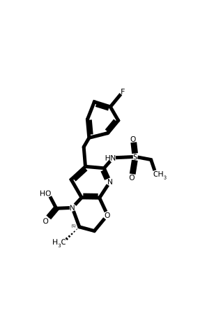 CCS(=O)(=O)Nc1nc2c(cc1Cc1ccc(F)cc1)N(C(=O)O)[C@@H](C)CO2